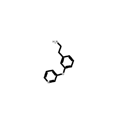 NCCc1cccc(Oc2cccnc2)c1